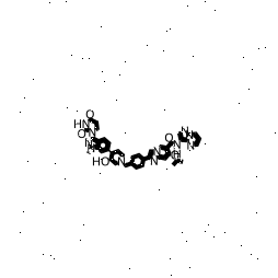 CC(C)Oc1cc2nc(C3CCC(CN4CC[C@H](c5ccc6c(N7CCC(=O)NC7=O)nn(C)c6c5)[C@H](O)C4)CC3)cn2cc1C(=O)Nc1cnn2cccnc12